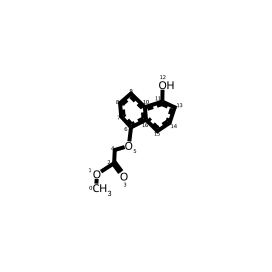 COC(=O)COc1cccc2c(O)cccc12